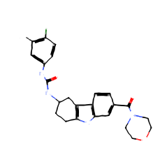 O=C(Nc1ccc(Cl)c(C(F)(F)F)c1)NC1CCc2[nH]c3cc(C(=O)N4CCOCC4)ccc3c2C1